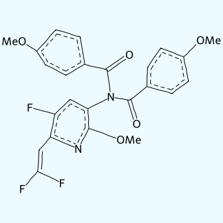 COc1ccc(C(=O)N(C(=O)c2ccc(OC)cc2)c2cc(F)c(C=C(F)F)nc2OC)cc1